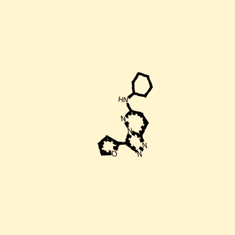 c1coc(-c2nnc3ccc(NC4CCCCC4)nn23)c1